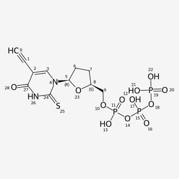 C#Cc1cn([C@H]2CC[C@@H](COP(=O)(O)OP(=O)(O)OP(=O)(O)O)O2)c(=S)[nH]c1=O